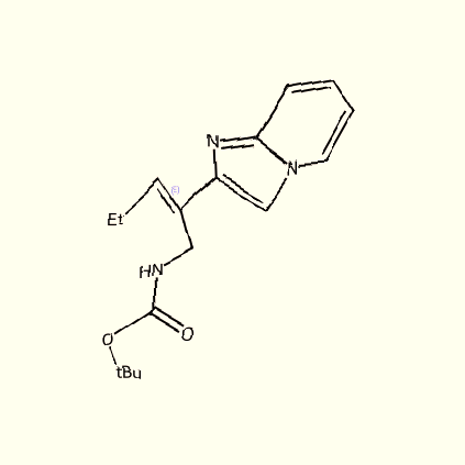 CC/C=C(\CNC(=O)OC(C)(C)C)c1cn2ccccc2n1